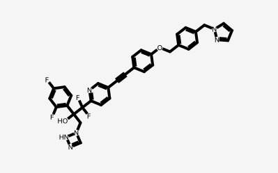 OC(Cn1cn[nH]1)(c1ccc(F)cc1F)C(F)(F)c1ccc(C#Cc2ccc(OCc3ccc(Cn4cccn4)cc3)cc2)cn1